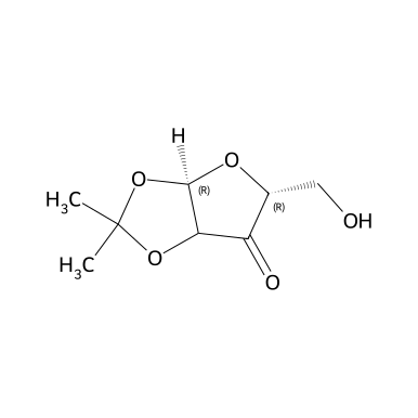 CC1(C)OC2C(=O)[C@@H](CO)O[C@@H]2O1